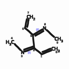 C=CC(=N/C)/C(C=C)=N\C